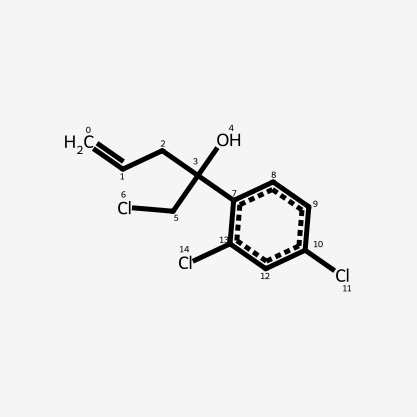 C=CCC(O)(CCl)c1ccc(Cl)cc1Cl